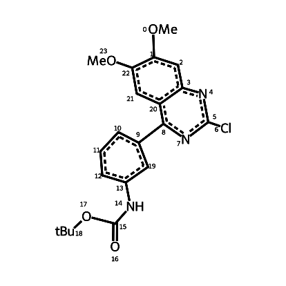 COc1cc2nc(Cl)nc(-c3cccc(NC(=O)OC(C)(C)C)c3)c2cc1OC